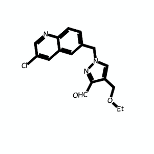 CCOCc1cn(Cc2ccc3ncc(Cl)cc3c2)nc1C=O